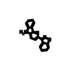 c1ccc2c(c1)[SiH2]c1ccc(-c3noc4ccccc34)nc1-2